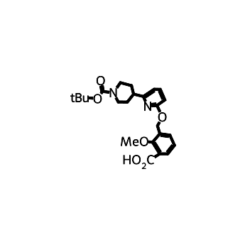 COc1c(COc2cccc(C3CCN(C(=O)OC(C)(C)C)CC3)n2)cccc1C(=O)O